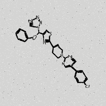 Clc1ccc(-c2cnc(N3CCC(c4nc(C(Oc5ccccc5)n5cnnn5)cs4)CC3)nc2)cc1